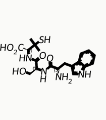 CC(C)(S)[C@H](NC(=O)[C@H](CO)NC(=O)[C@@H](N)Cc1c[nH]c2ccccc12)C(=O)O